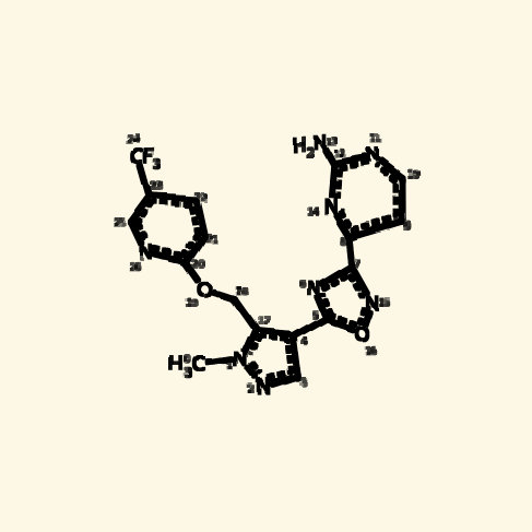 Cn1ncc(-c2nc(-c3ccnc(N)n3)no2)c1COc1ccc(C(F)(F)F)cn1